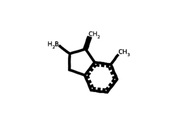 BC1Cc2cccc(C)c2C1=C